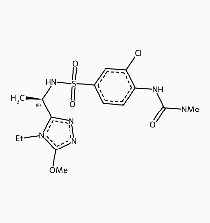 CCn1c(OC)nnc1[C@@H](C)NS(=O)(=O)c1ccc(NC(=O)NC)c(Cl)c1